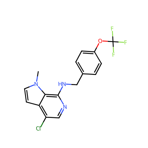 Cn1ccc2c(Cl)cnc(NCc3ccc(OC(F)(F)F)cc3)c21